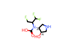 O=C(O)N(C(CF)C(F)F)[C@@H]1CNC[C@H]1O